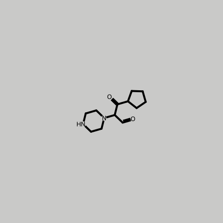 O=CC(C(=O)C1CCCC1)N1CCNCC1